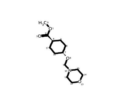 COC(=O)[C@H]1CC[C@H](OCN2CCOCC2)CC1